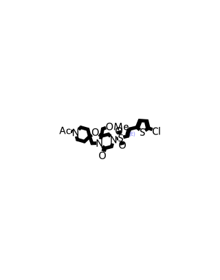 COCC12CN(S(=O)(=O)/C=C/c3ccc(Cl)s3)CC(=O)N1CC1(CCN(C(C)=O)CC1)O2